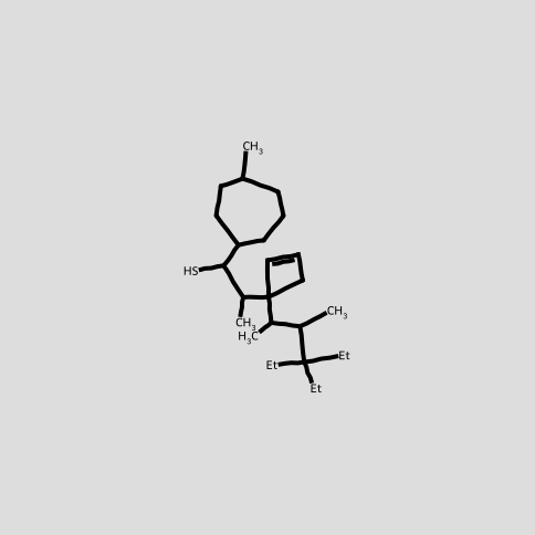 CCC(CC)(CC)C(C)C(C)C1(C(C)C(S)C2CCCC(C)CC2)C=CC1